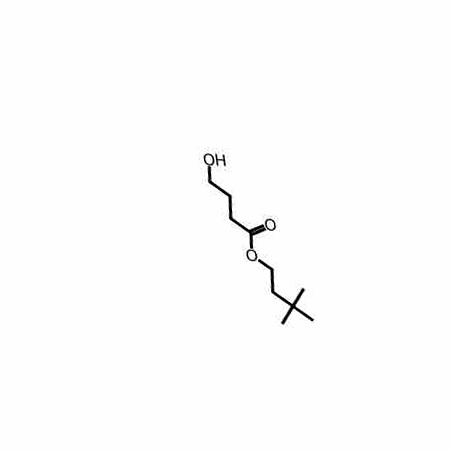 CC(C)(C)CCOC(=O)CCCO